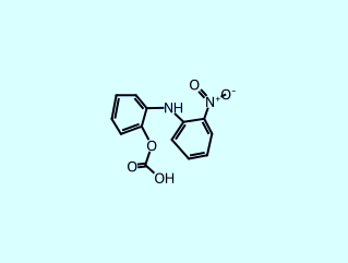 O=C(O)Oc1ccccc1Nc1ccccc1[N+](=O)[O-]